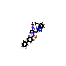 CON=C1CCN(C(=O)c2ccc(-c3ccccc3)cc2)C1Cc1nc2ccccc2[nH]1